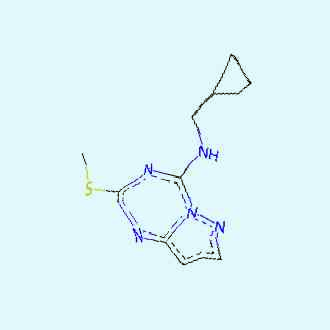 CSc1nc(NCC2CC2)n2nccc2n1